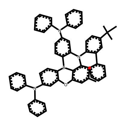 Cc1cc2c3c(c1)N(c1ccc(C(C)(C)C)cc1-c1ccccc1)c1cc(N(c4ccccc4)c4ccccc4)ccc1B3c1ccc(N(c3ccccc3)c3ccccc3)cc1O2